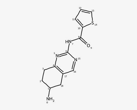 NC1CCc2nc(NC(=O)c3cccs3)ncc2C1